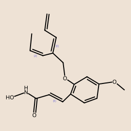 C=C/C=C(\C=C/C)COc1cc(OC)ccc1/C=C/C(=O)NO